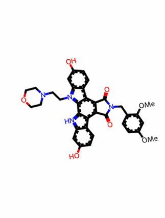 COc1ccc(CN2C(=O)c3c(c4c5ccc(O)cc5n(CCN5CCOCC5)c4c4[nH]c5cc(O)ccc5c34)C2=O)c(OC)c1